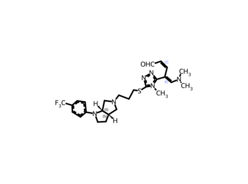 CN(C)/C=C(\C=C/C=O)c1nnc(SCCCN2C[C@@H]3CCN(c4ccc(C(F)(F)F)cc4)[C@@H]3C2)n1C